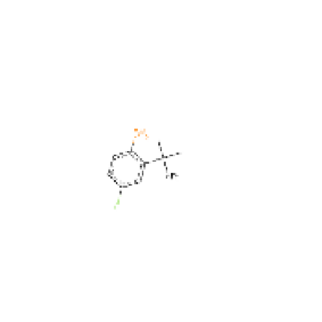 CCCC(C)(C)c1cc(F)ccc1P